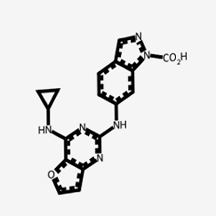 O=C(O)n1ncc2ccc(Nc3nc(NC4CC4)c4occc4n3)cc21